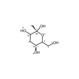 C[C@@]1(O)OC(CO)[C@@H](O)CC1O